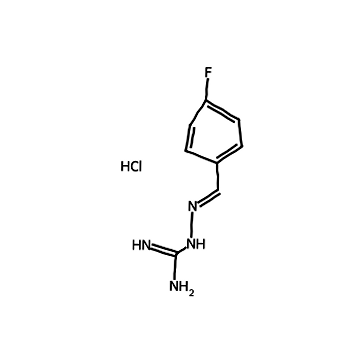 Cl.N=C(N)NN=Cc1ccc(F)cc1